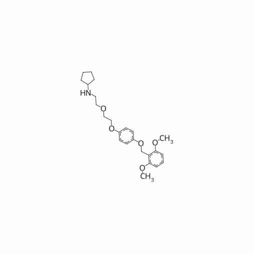 COc1cccc(OC)c1COc1ccc(OCCOCCNC2CCCC2)cc1